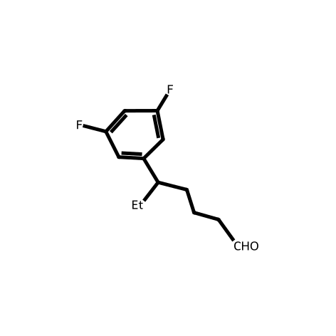 CCC(CCCC=O)c1cc(F)cc(F)c1